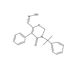 CC(C)(c1ccccc1)N1COC(/C=N\O)=C(c2ccccc2)C1=O